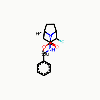 CC(C)(C)OC(=O)N1C2CC[C@@H]1CC(NCc1ccccc1)C2F